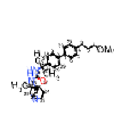 COCCCc1ccc(-c2ccc(C(C)(C)NC(=O)NC3(C)CN4CCC3CC4)cc2)cc1